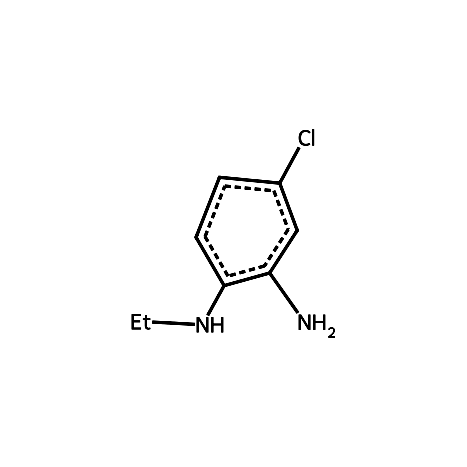 CCNc1ccc(Cl)cc1N